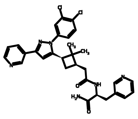 CC1(C)[C@@H](CC(=O)N[C@@H](Cc2cccnc2)C(N)=O)C[C@@H]1c1cc(-c2cccnc2)nn1-c1ccc(Cl)c(Cl)c1